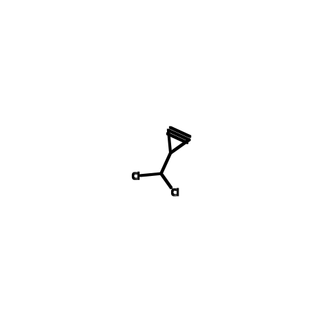 ClC(Cl)C1C#C1